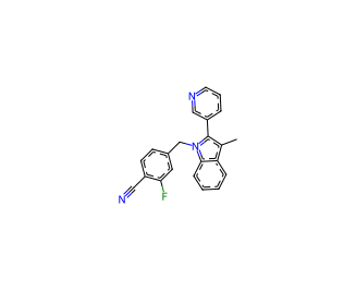 Cc1c(-c2cccnc2)n(Cc2ccc(C#N)c(F)c2)c2ccccc12